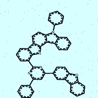 c1ccc(-c2cc(-c3ccc4oc5ccccc5c4c3)nc(-c3cccc4c3sc3c4ccc4c3c3ccccc3n4-c3ccccc3)n2)cc1